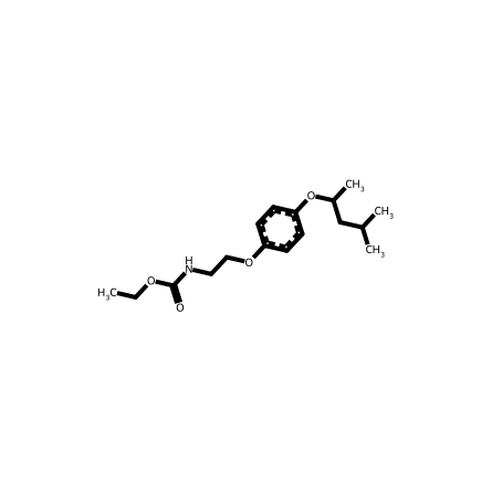 CCOC(=O)NCCOc1ccc(OC(C)CC(C)C)cc1